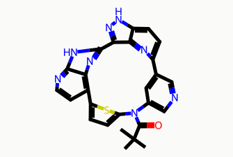 CC(C)(C)C(=O)n1c2cncc(c2)c2ccc3[nH]nc(c4nc5c(nccc5c5ccc1s5)[nH]4)c3n2